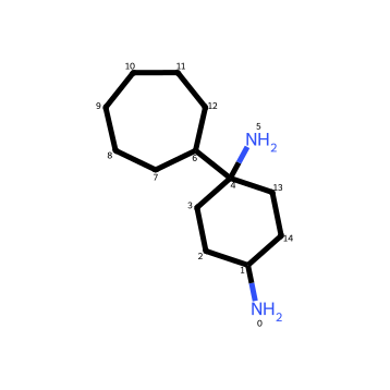 NC1CCC(N)(C2CCCCCC2)CC1